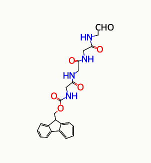 O=CCNC(=O)CNC(=O)CNC(=O)CNC(=O)OCC1c2ccccc2-c2ccccc21